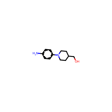 Nc1ccc(N2CCC(CO)CC2)cc1